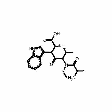 CSN(C(=O)C(C)N)C(C(=O)C(c1c[nH]c2ccccc12)C(N)C(=O)O)C(C)C